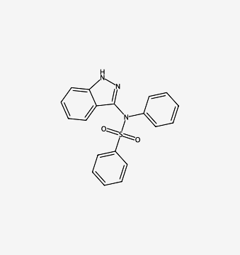 O=S(=O)(c1ccccc1)N(c1ccccc1)c1n[nH]c2ccccc12